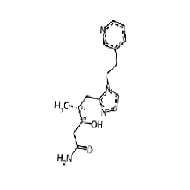 C[C@H](Cc1nccn1CCc1cccnc1)[C@@H](O)CC(N)=O